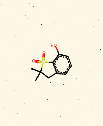 CC1(C)Cc2cccc(O)c2S1(=O)=O